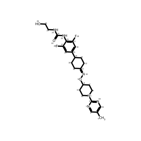 Cc1cnc(N2CCC(ON=C3CCC(c4cc(F)c(NC(=O)NCCO)c(F)c4)CC3)CC2)nc1